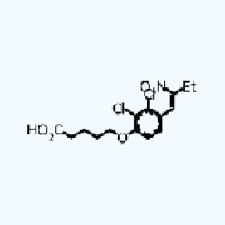 CC/C(=C/c1ccc(OCCCCC(=O)O)c(Cl)c1Cl)[N+](=O)[O-]